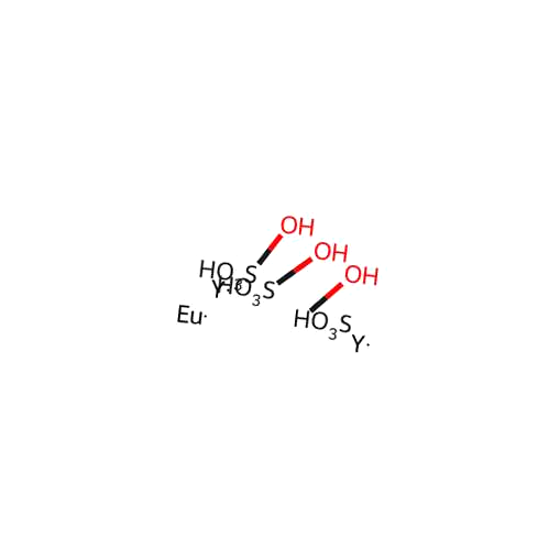 O=S(=O)(O)O.O=S(=O)(O)O.O=S(=O)(O)O.[Eu].[Y].[Y]